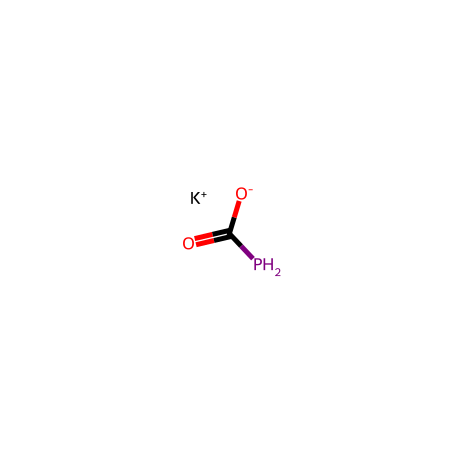 O=C([O-])P.[K+]